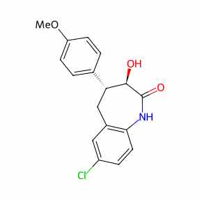 COc1ccc([C@H]2Cc3cc(Cl)ccc3NC(=O)[C@@H]2O)cc1